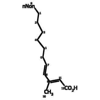 CCCCCCCCCCCCCCCC=CC(C)=CC(=O)O